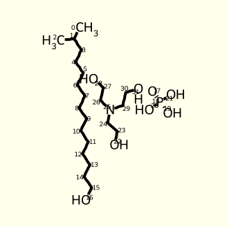 CC(C)CCCCCCCCCCCCCO.O=P(O)(O)O.OCCN(CCO)CCO